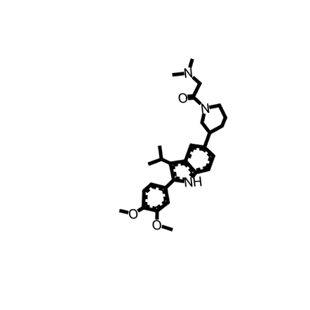 COc1ccc(-c2[nH]c3ccc(C4CCCN(C(=O)CN(C)C)C4)cc3c2C(C)C)cc1OC